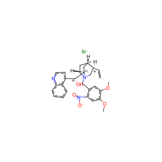 C=C[C@H]1C[N+]2(Cc3cc(OC)c(OC)cc3[N+](=O)[O-])CC[C@H]1C[C@H]2[C@H](O)c1ccnc2ccccc12.[Br-]